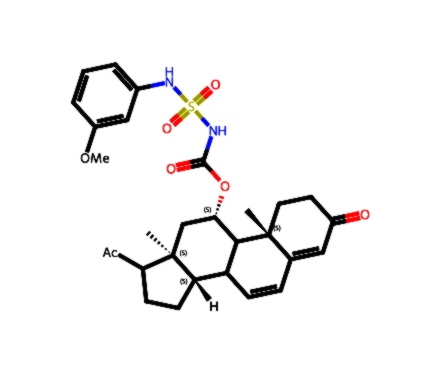 COc1cccc(NS(=O)(=O)NC(=O)O[C@H]2C[C@]3(C)C(C(C)=O)CC[C@H]3C3C=CC4=CC(=O)CC[C@@]4(C)C32)c1